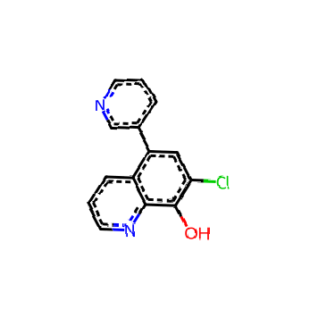 Oc1c(Cl)cc(-c2cccnc2)c2cccnc12